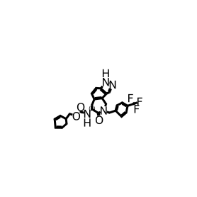 O=C(N[C@@H]1Cc2ccc3[nH]ncc3c2CN(Cc2ccc(C(F)(F)F)cc2)C1=O)OCC1C=CC=CC1